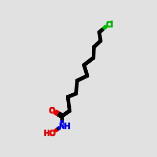 O=C(CCCCCCCCCCCl)NO